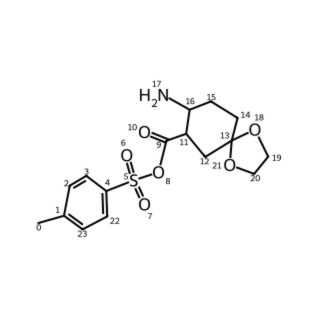 Cc1ccc(S(=O)(=O)OC(=O)C2CC3(CCC2N)OCCO3)cc1